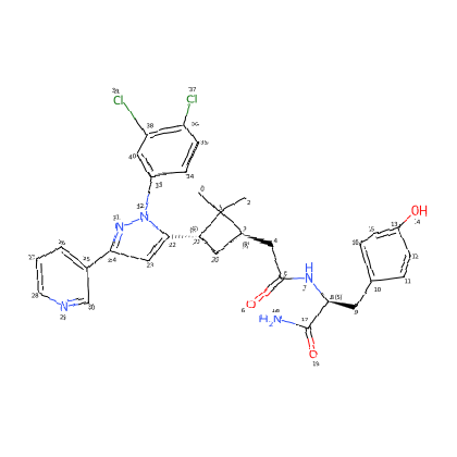 CC1(C)[C@@H](CC(=O)N[C@@H](Cc2ccc(O)cc2)C(N)=O)C[C@@H]1c1cc(-c2cccnc2)nn1-c1ccc(Cl)c(Cl)c1